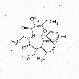 CCC1=C(C)C(=O)N2C(CC)C(=O)N(CC)c3c(C)cccc3C2(c2ccc(I)cc2)O1